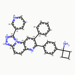 NC1(c2ccc(-c3nc4ccc5nnc(-c6cccnc6)n5c4cc3-c3ccccc3)cc2)CCC1